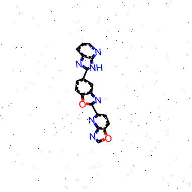 c1cnc2[nH]c(-c3ccc4oc(-c5ccc6ocnc6n5)nc4c3)nc2c1